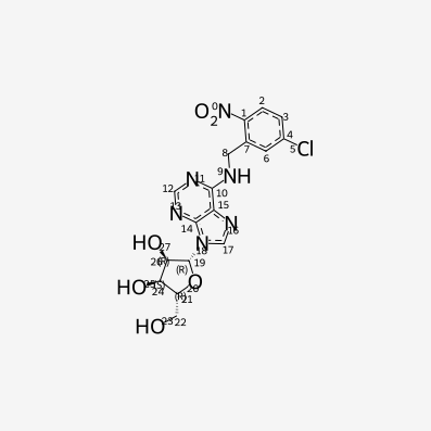 O=[N+]([O-])c1ccc(Cl)cc1CNc1ncnc2c1ncn2[C@@H]1O[C@H](CO)[C@@H](O)[C@H]1O